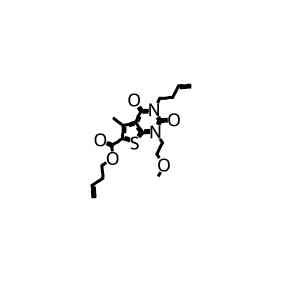 C=CCCOC(=O)c1sc2c(c1C)c(=O)n(CCC=C)c(=O)n2CCOC